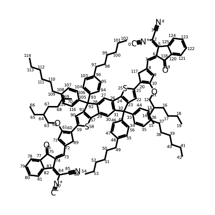 [C-]#[N+]/C(C#N)=C1\C(=C\C2=CC(OCC(CC)CCCC)=C(c3cc4c(s3)-c3cc5c(cc3C4(c3ccc(CCCCCC)cc3)c3ccc(CCCCCC)cc3)-c3sc(C4=C(OCC(CC)CCCC)C=C(/C=C6\C(=O)c7ccccc7\C6=C(\C#N)[N+]#[C-])C4)cc3C5(c3ccc(CCCCCC)cc3)c3ccc(CCCCCC)cc3)C2)C(=O)c2ccccc21